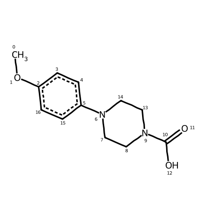 COc1ccc(N2CCN(C(=O)O)CC2)cc1